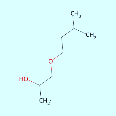 [CH2]C(O)COCCC(C)C